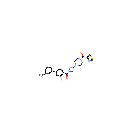 O=C(c1cscn1)N1CCN(C2CN(C(=O)c3ccc(-c4cccc(C(F)(F)F)c4)cc3F)C2)CC1